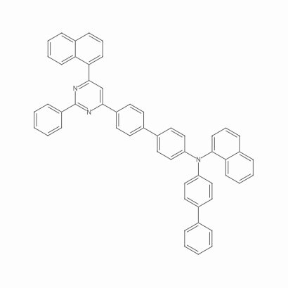 c1ccc(-c2ccc(N(c3ccc(-c4ccc(-c5cc(-c6cccc7ccccc67)nc(-c6ccccc6)n5)cc4)cc3)c3cccc4ccccc34)cc2)cc1